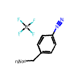 CCCCCCCCCCc1ccc([N+]#N)cc1.F[B-](F)(F)F